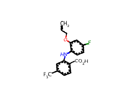 C=CCOc1cc(F)ccc1Nc1cc(C(F)(F)F)ccc1C(=O)O